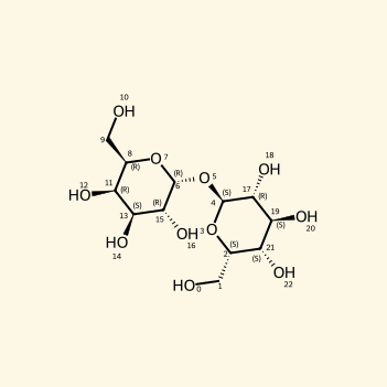 OC[C@@H]1O[C@@H](O[C@H]2O[C@H](CO)[C@H](O)[C@H](O)[C@H]2O)[C@H](O)[C@@H](O)[C@@H]1O